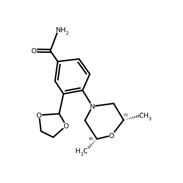 C[C@@H]1CN(c2ccc(C(N)=O)cc2C2OCCO2)C[C@H](C)O1